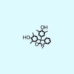 Cc1cc(C2(c3cc(C)c(O)c(C)c3)C(=O)N(C)c3ccccc32)cc(C)c1O